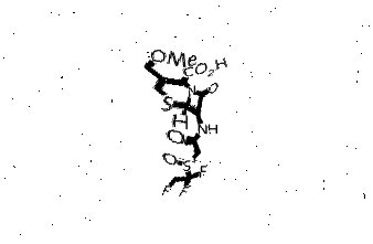 COCC1=C(C(=O)O)N2C(=O)C(NC(=O)C[S+]([O-])C(F)(F)CF)[C@@H]2SC1